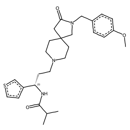 COc1ccc(CN2CC3(CCN(CC[C@H](NC(=O)C(C)C)c4ccsc4)CC3)CC2=O)cc1